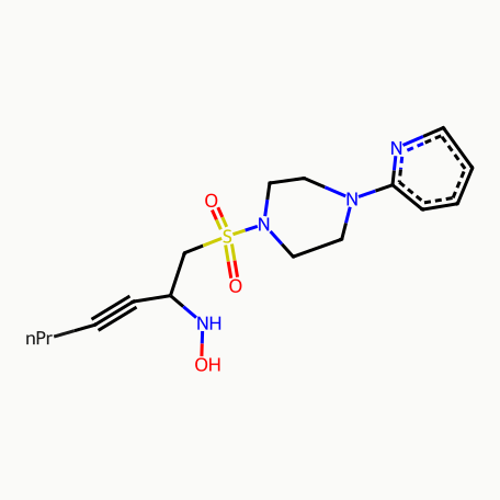 CCCC#CC(CS(=O)(=O)N1CCN(c2ccccn2)CC1)NO